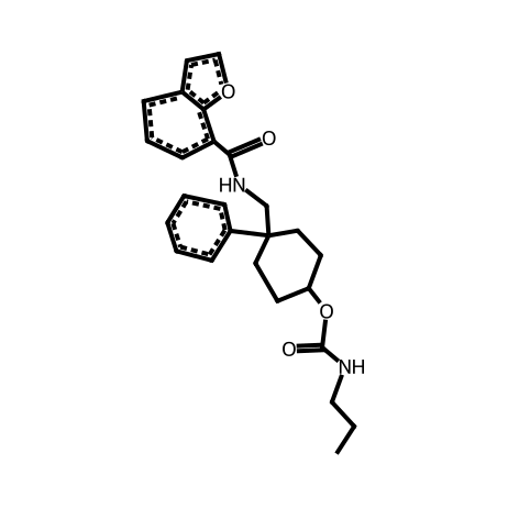 CCCNC(=O)OC1CCC(CNC(=O)c2cccc3ccoc23)(c2ccccc2)CC1